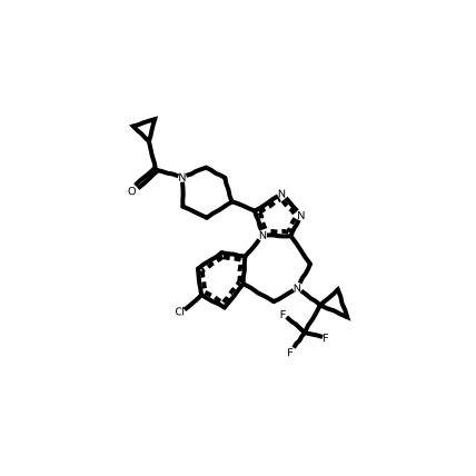 O=C(C1CC1)N1CCC(c2nnc3n2-c2ccc(Cl)cc2CN(C2(C(F)(F)F)CC2)C3)CC1